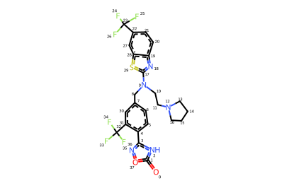 O=c1[nH]c(-c2ccc(CN(CCN3CCCC3)c3nc4ccc(C(F)(F)F)cc4s3)cc2C(F)(F)F)no1